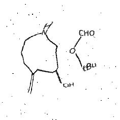 C=C1CCNCC1O.CC(C)(C)OC=O